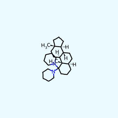 C[C@@]12CCC[C@H]1[C@@H]1CC[C@H]3CCCC(N4CCCCC4)(N4CCCCC4)[C@]3(C)[C@H]1CC2